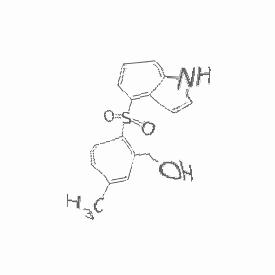 Cc1ccc(S(=O)(=O)c2cccc3[nH]ccc23)c(CO)c1